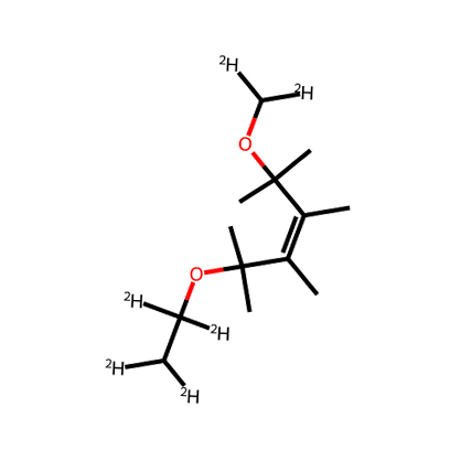 [2H]C([2H])OC(C)(C)/C(C)=C(/C)C(C)(C)OC([2H])([2H])C([2H])[2H]